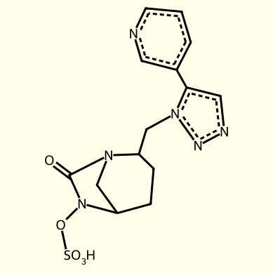 O=C1N2CC(CCC2Cn2nncc2-c2cccnc2)N1OS(=O)(=O)O